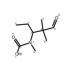 CCC(N(C)C(=O)O)C(C)(C)C=O